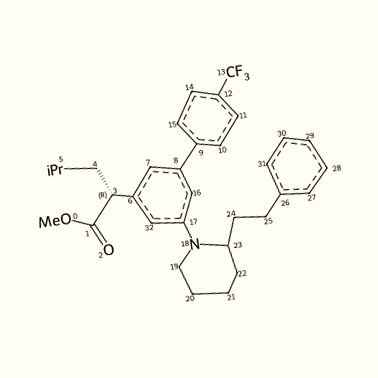 COC(=O)[C@H](CC(C)C)c1cc(-c2ccc(C(F)(F)F)cc2)cc(N2CCCCC2CCc2ccccc2)c1